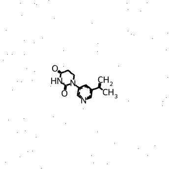 C=C(C)c1cncc(N2CCC(=O)NC2=O)c1